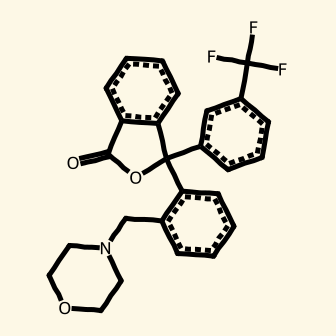 O=C1OC(c2cccc(C(F)(F)F)c2)(c2ccccc2CN2CCOCC2)c2ccccc21